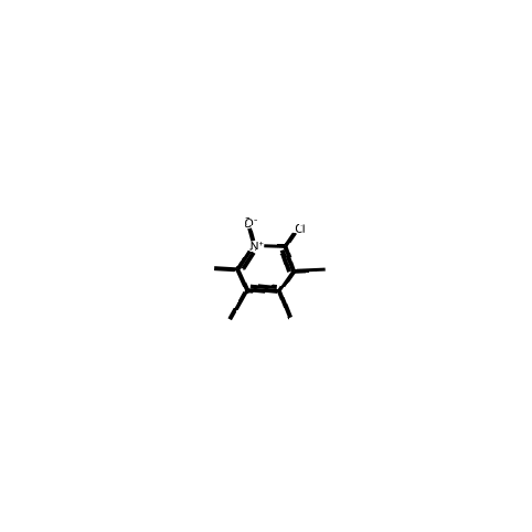 Cc1c(C)c(C)[n+]([O-])c(Cl)c1C